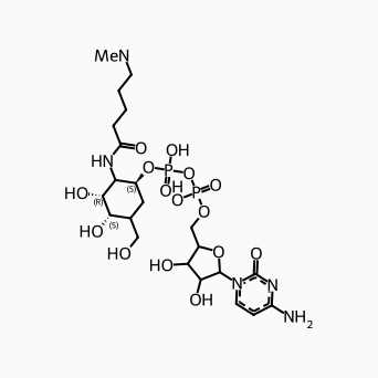 CNCCCCC(=O)NC1[C@@H](OP(=O)(O)OP(=O)(O)OCC2OC(n3ccc(N)nc3=O)C(O)C2O)CC(CO)[C@H](O)[C@@H]1O